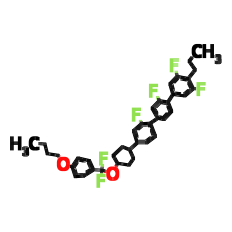 CCCCOc1ccc(C(F)(F)OC2CCC(c3ccc(-c4ccc(-c5cc(F)c(CCC)c(F)c5)c(F)c4)c(F)c3)CC2)cc1